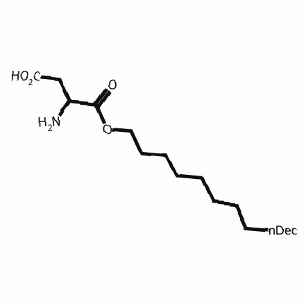 CCCCCCCCCCCCCCCCCCOC(=O)C(N)CC(=O)O